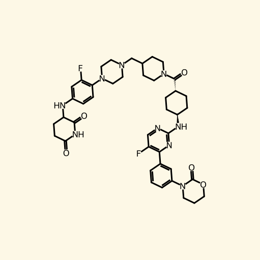 O=C1CCC(Nc2ccc(N3CCN(CC4CCN(C(=O)[C@H]5CC[C@H](Nc6ncc(F)c(-c7cccc(N8CCCOC8=O)c7)n6)CC5)CC4)CC3)c(F)c2)C(=O)N1